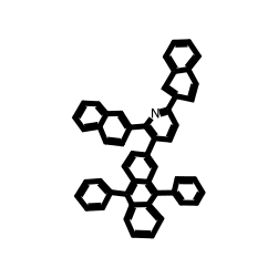 c1ccc(-c2c3ccccc3c(-c3ccccc3)c3cc(-c4ccc(-c5ccc6ccccc6c5)nc4-c4ccc5ccccc5c4)ccc23)cc1